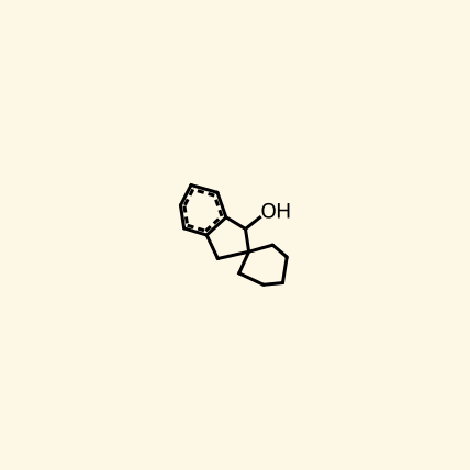 OC1c2ccccc2CC12CCCCC2